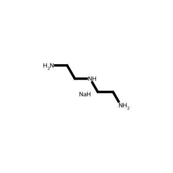 NCCNCCN.[NaH]